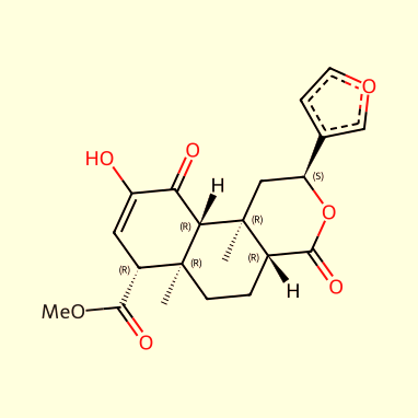 COC(=O)[C@@H]1C=C(O)C(=O)[C@H]2[C@@]1(C)CC[C@H]1C(=O)O[C@H](c3ccoc3)C[C@]21C